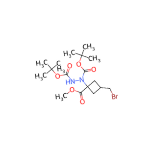 COC(=O)C1(N(NC(=O)OC(C)(C)C)C(=O)OC(C)(C)C)CC(CBr)C1